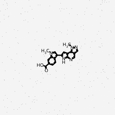 Cn1cc(-c2cc3c(ncc4cnn(C)c43)[nH]2)c2ccc(C(=O)O)cc21